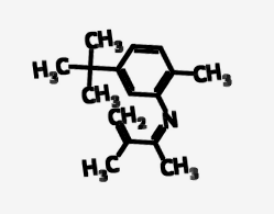 C=C(C)/C(C)=N\c1cc(C(C)(C)C)ccc1C